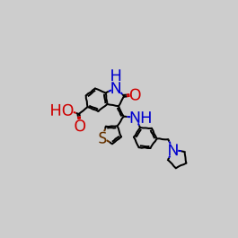 O=C1Nc2ccc(C(=O)O)cc2/C1=C(/Nc1cccc(CN2CCCC2)c1)c1ccsc1